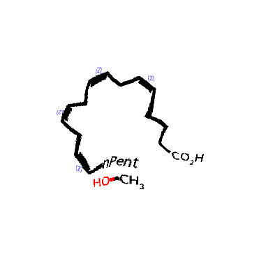 CCCCC/C=C\C/C=C\C/C=C\C/C=C\CCCC(=O)O.CO